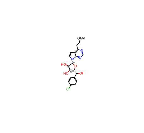 COCCc1ncnc2c1ccn2[C@@H]1O[C@H](C(O)c2ccc(Cl)cc2)[C@@H](O)[C@H]1O